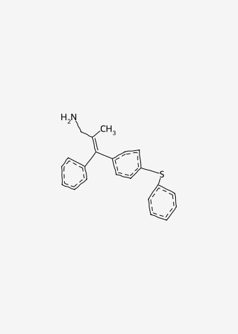 CC(CN)=C(c1ccccc1)c1ccc(Sc2ccccc2)cc1